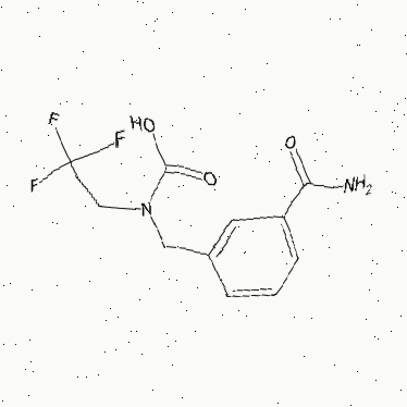 NC(=O)c1cccc(CN(CC(F)(F)F)C(=O)O)c1